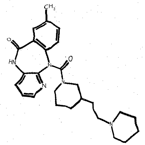 Cc1ccc2c(c1)C(=O)Nc1cccnc1N2C(=O)N1CCCC(CCN2CCCCC2)C1